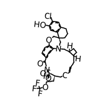 O=C1NS(=O)(=O)[C@H](CCOC(F)(F)F)CC/C=C/C[C@H]2CC[C@H]2CN2C[C@@]3(CCCc4cc(Cl)c(O)cc43)COc3ccc1cc32